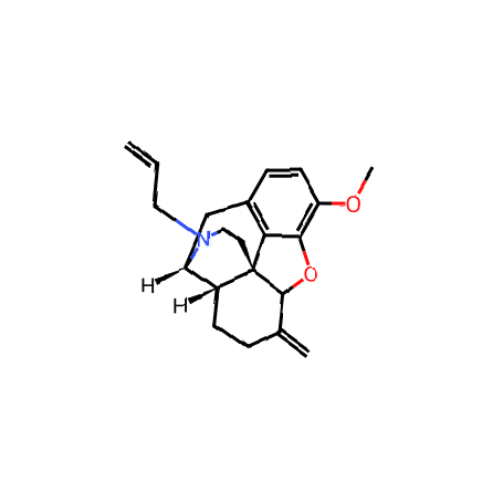 C=CCN1CC[C@@]23c4c5ccc(OC)c4OC2C(=C)CC[C@@H]3[C@@H]1C5